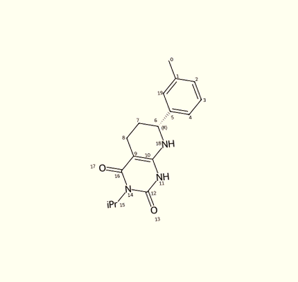 Cc1cccc([C@H]2CCc3c([nH]c(=O)n(C(C)C)c3=O)N2)c1